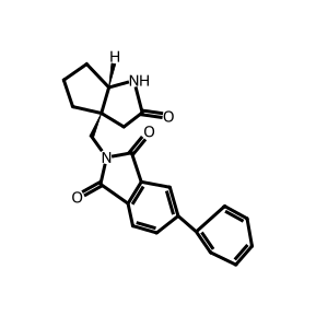 O=C1C[C@]2(CN3C(=O)c4ccc(-c5ccccc5)cc4C3=O)CCC[C@@H]2N1